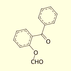 O=COc1ccccc1C(=O)c1ccccc1